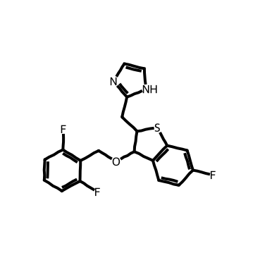 Fc1ccc2c(c1)SC(Cc1ncc[nH]1)C2OCc1c(F)cccc1F